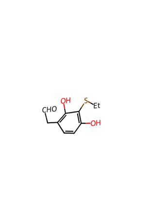 CCSc1c(O)ccc(CC=O)c1O